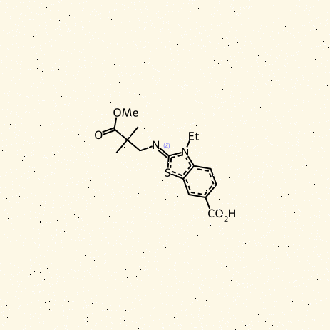 CCn1/c(=N/CC(C)(C)C(=O)OC)sc2cc(C(=O)O)ccc21